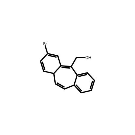 OCC1=C2C=C(Br)C=CC2C=Cc2ccccc21